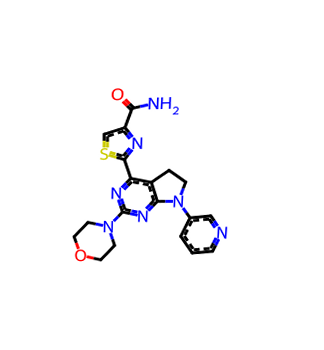 NC(=O)c1csc(-c2nc(N3CCOCC3)nc3c2CCN3c2cccnc2)n1